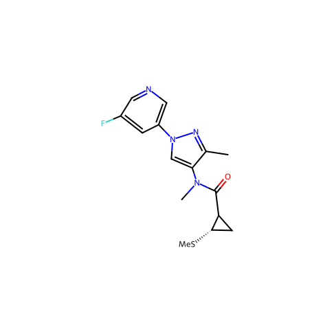 CS[C@H]1CC1C(=O)N(C)c1cn(-c2cncc(F)c2)nc1C